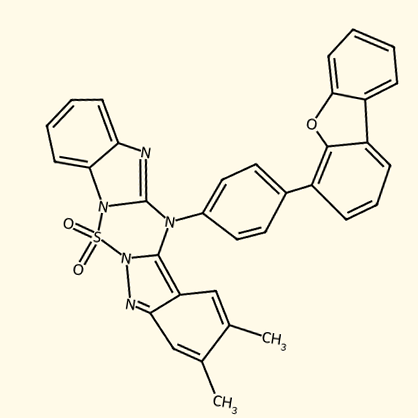 Cc1cc2nn3c(c2cc1C)N(c1ccc(-c2cccc4c2oc2ccccc24)cc1)c1nc2ccccc2n1S3(=O)=O